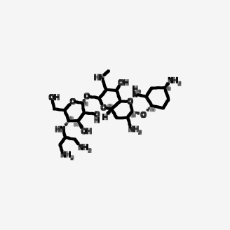 CNC1C(O[C@H]2OC(CO)[C@@H](NC(CN)CN)[C@H](O)C2O)O[C@H]2CC(N)[C@@H](O[C@H]3CC[C@H](N)CC3N)OC2C1O